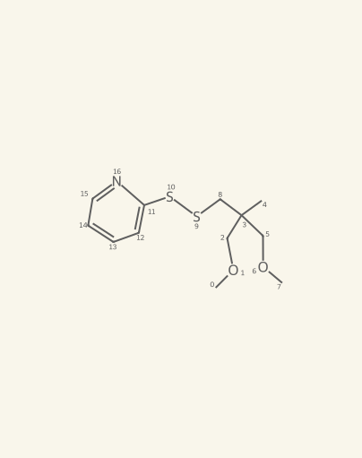 COCC(C)(COC)CSSc1ccccn1